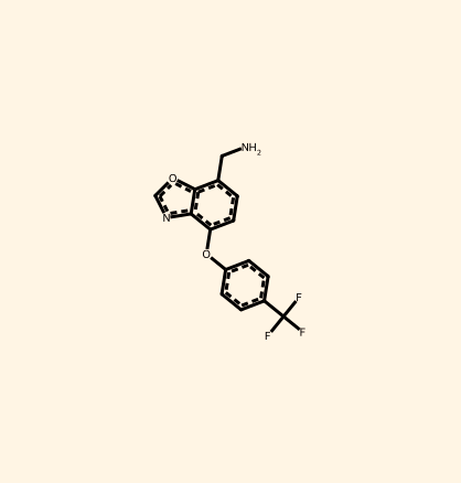 NCc1ccc(Oc2ccc(C(F)(F)F)cc2)c2ncoc12